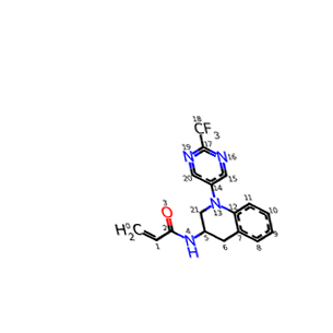 C=CC(=O)NC1Cc2ccccc2N(c2cnc(C(F)(F)F)nc2)C1